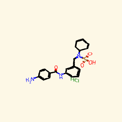 Cl.Nc1ccc(C(=O)Nc2cccc(CN(C3CCCCC3)S(=O)(=O)O)c2)cc1